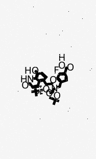 COc1c(CN(CC(O[Si](C)(C)C(C)(C)C)c2ccc(O)c3[nH]c(=O)ccc23)C(=O)OC(C)(C)C)ccc(C(=O)O)c1F